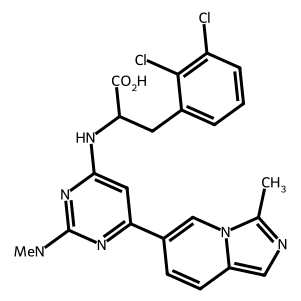 CNc1nc(NC(Cc2cccc(Cl)c2Cl)C(=O)O)cc(-c2ccc3cnc(C)n3c2)n1